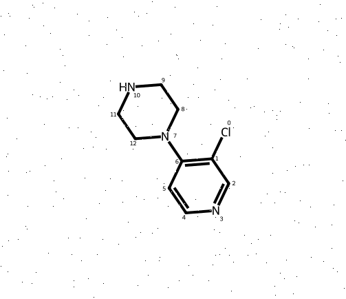 Clc1[c]nccc1N1CCNCC1